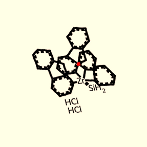 Cl.Cl.[SiH2]=[Zr]([c]1ccccc1)([c]1ccccc1)([c]1cccc2c1Cc1ccccc1-2)[c]1cccc2c1Cc1ccccc1-2